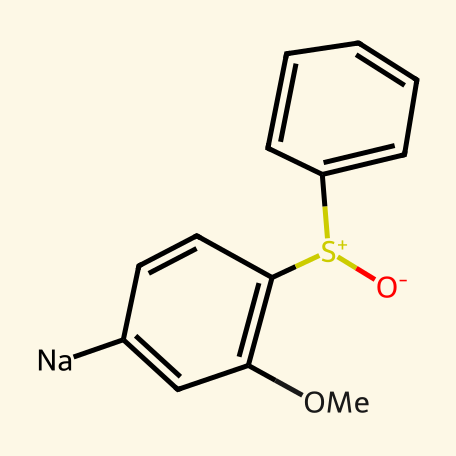 COc1c[c]([Na])ccc1[S+]([O-])c1ccccc1